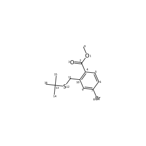 COC(=O)c1ccc(Br)cc1CSC(C)(C)C